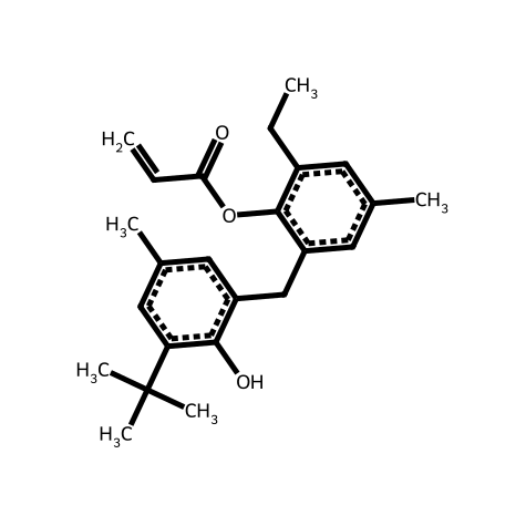 C=CC(=O)Oc1c(CC)cc(C)cc1Cc1cc(C)cc(C(C)(C)C)c1O